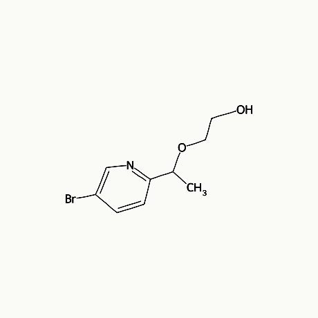 CC(OCCO)c1ccc(Br)cn1